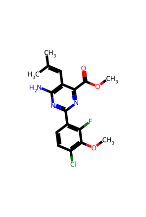 COC(=O)c1nc(-c2ccc(Cl)c(OC)c2F)nc(N)c1C=C(C)C